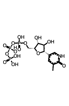 Cc1cc([C@@H]2O[C@H](COP(=O)(O)OP(=O)(O)OP(=O)(O)O)[C@H](O)C2O)c[nH]c1=O